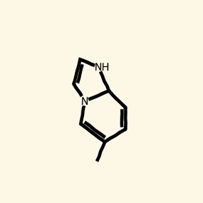 CC1=CN2C=CNC2C=C1